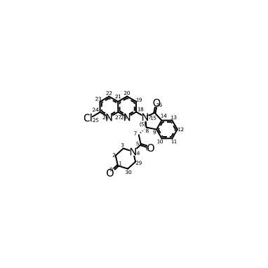 O=C1CCN(C(=O)C[C@H]2c3ccccc3C(=O)N2c2ccc3ccc(Cl)nc3n2)CC1